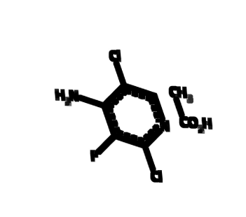 CC(=O)O.Nc1c(Cl)cnc(Cl)c1F